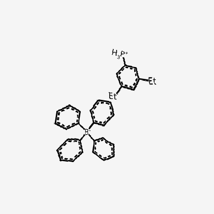 CCc1cc([PH3+])cc(CC)c1.c1ccc([B-](c2ccccc2)(c2ccccc2)c2ccccc2)cc1